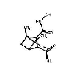 CC1(C)C2CC1(C)C(C(=O)NO)C2C(N)=O